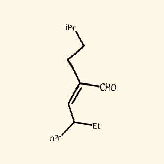 CCCC(/C=C(\C=O)CCC(C)C)CC